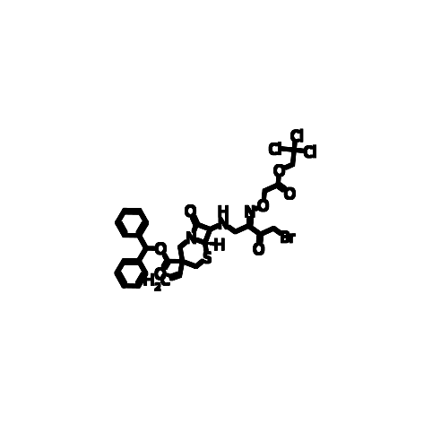 C=CC1(C(=O)OC(c2ccccc2)c2ccccc2)CS[C@@H]2C(NCC(=NOCC(=O)OCC(Cl)(Cl)Cl)C(=O)CBr)C(=O)N2C1